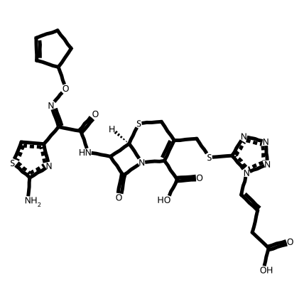 Nc1nc(/C(=N/OC2C=CCC2)C(=O)NC2C(=O)N3C(C(=O)O)=C(CSc4nnnn4/C=C/CC(=O)O)CS[C@H]23)cs1